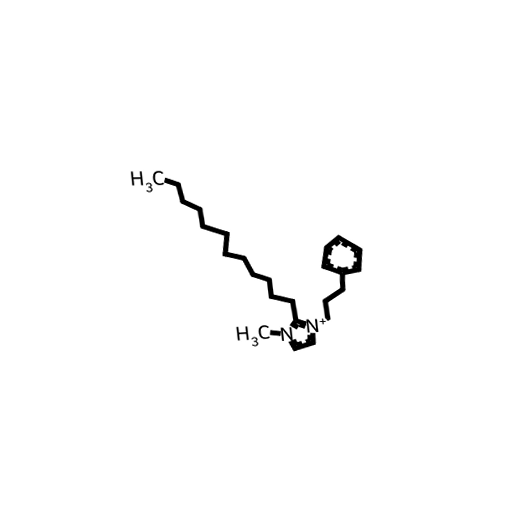 CCCCCCCCCCCCc1n(C)cc[n+]1CCCc1ccccc1